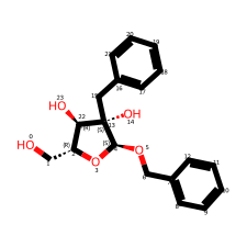 OC[C@H]1O[C@H](OCc2ccccc2)[C@](O)(Cc2ccccc2)[C@@H]1O